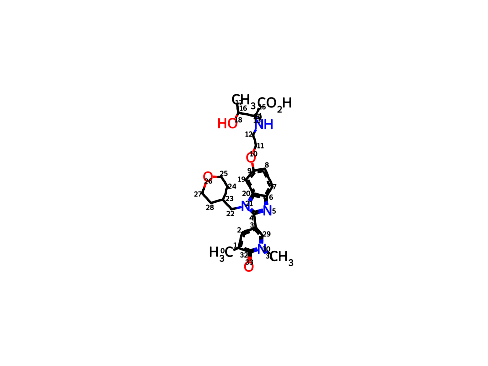 Cc1cc(-c2nc3ccc(OCCN[C@H](C(=O)O)C(C)O)cc3n2CC2CCOCC2)cn(C)c1=O